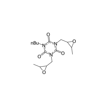 CCCCn1c(=O)n(CC2OC2C)c(=O)n(CC2OC2C)c1=O